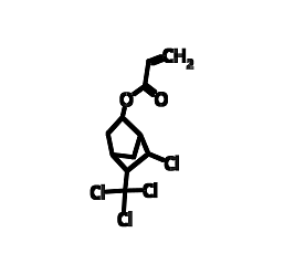 C=CC(=O)OC1CC2CC1C(Cl)C2C(Cl)(Cl)Cl